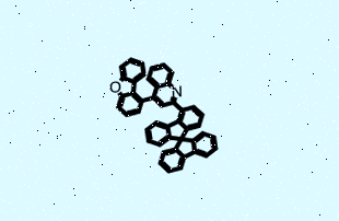 c1ccc2c(c1)-c1ccccc1C21c2ccccc2-c2c(-c3cc(-c4cccc5oc6ccccc6c45)c4ccccc4n3)cccc21